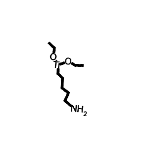 CC[O][Ti]([CH2]CCCCN)[O]CC